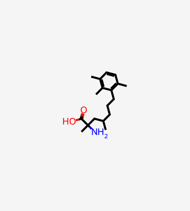 Cc1ccc(C)c(CCCC(C)CC(C)(N)C(=O)O)c1C